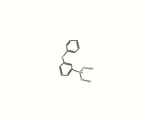 CCO[SiH](OCC)c1cccc(Oc2ccccc2)c1